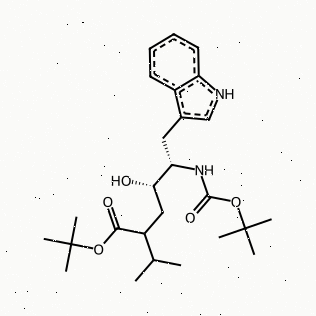 CC(C)C(C[C@H](O)[C@H](Cc1c[nH]c2ccccc12)NC(=O)OC(C)(C)C)C(=O)OC(C)(C)C